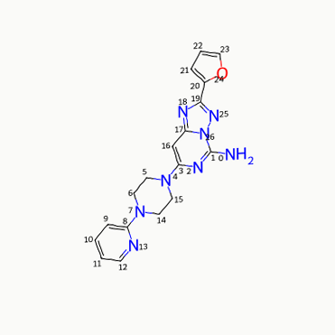 Nc1nc(N2CCN(c3ccccn3)CC2)cc2nc(-c3ccco3)nn12